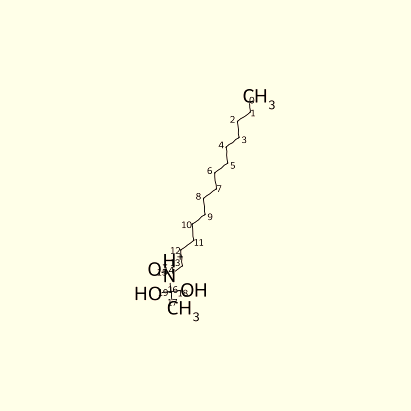 CCCCCCCCCCCCCC[NH+]([O-])C(C)(O)O